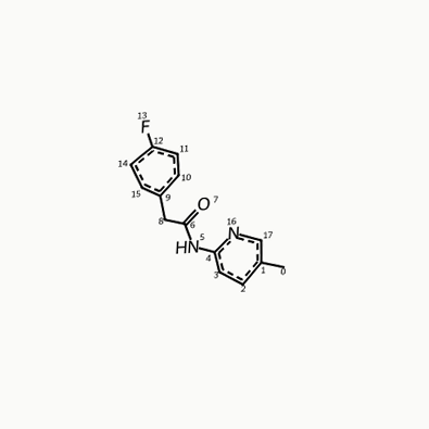 Cc1ccc(NC(=O)Cc2ccc(F)cc2)nc1